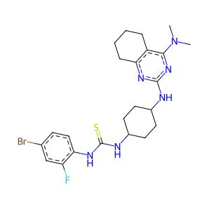 CN(C)c1nc(NC2CCC(NC(=S)Nc3ccc(Br)cc3F)CC2)nc2c1CCCC2